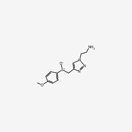 COc1ccc([S+]([O-])Cc2cn(CCN)nn2)cc1